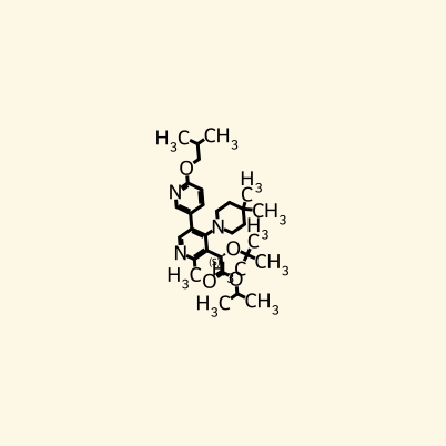 Cc1ncc(-c2ccc(OCC(C)C)nc2)c(N2CCC(C)(C)CC2)c1[C@H](OC(C)(C)C)C(=O)OC(C)C